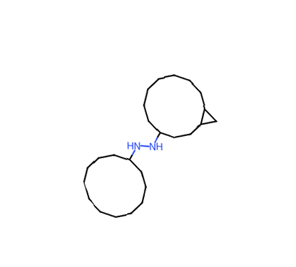 C1CCCCCC(NNC2CCCCCCCC3CC3CC2)CCCCC1